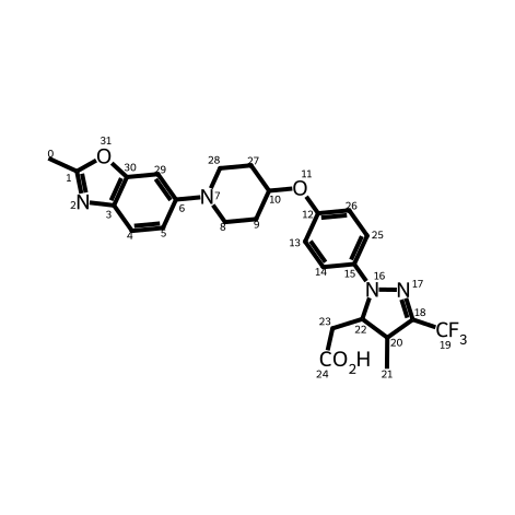 Cc1nc2ccc(N3CCC(Oc4ccc(N5N=C(C(F)(F)F)C(C)C5CC(=O)O)cc4)CC3)cc2o1